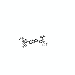 C=C(C)C(=O)Oc1ccc(-c2ccc3cc4cc(-c5ccc(OC(=O)C(=C)C)c(OC(=O)C(=C)C)c5)ccc4cc3c2)cc1OC(=O)C(=C)C